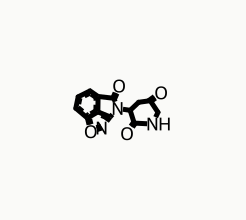 O=C1CNC(=O)C(N2C(=O)c3cccc4onc2c34)C1